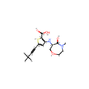 CN1CCOCC(Nc2cc(C#CC(C)(C)C)sc2C(=O)O)C1=O